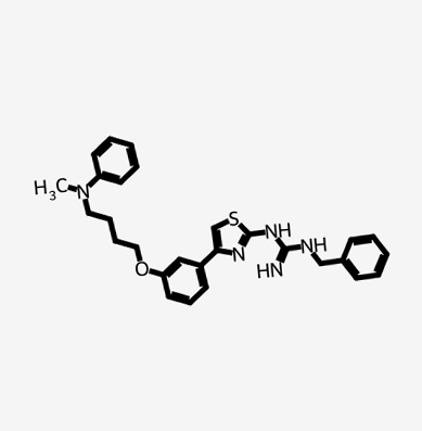 CN(CCCCOc1cccc(-c2csc(NC(=N)NCc3ccccc3)n2)c1)c1ccccc1